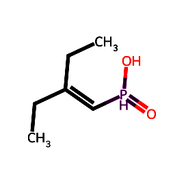 CCC(=C[PH](=O)O)CC